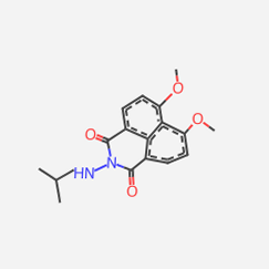 COc1ccc2c3c(ccc(OC)c13)C(=O)N(NCC(C)C)C2=O